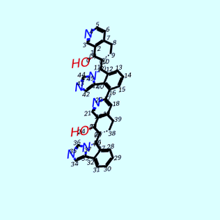 O[C@@H]1c2cnccc2CC[C@@H]1[C@@H]1c2cccc(-c3cc4c(cn3)[C@H](O)[C@@H]([C@@H]3c5ccccc5-c5cncn53)CC4)c2-c2cncn21